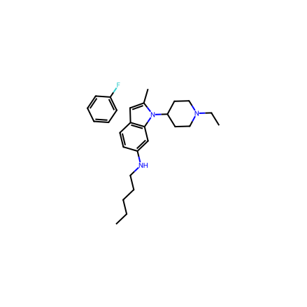 CCCCCNc1ccc2cc(C)n(C3CCN(CC)CC3)c2c1.Fc1ccccc1